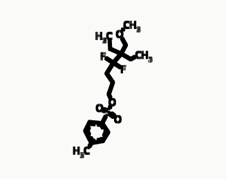 CCC(CC)(COC)C(F)(F)CCCOS(=O)(=O)c1ccc(C)cc1